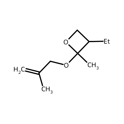 C=C(C)COC1(C)OCC1CC